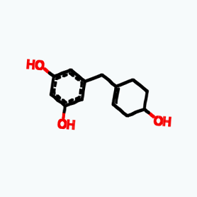 Oc1cc(O)cc(CC2=CCC(O)CC2)c1